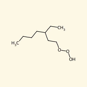 CCCCC(CC)CCOOO